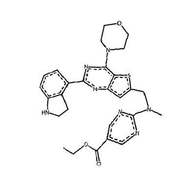 CCOC(=O)c1cnc(N(C)Cc2cc3nc(-c4cccc5c4CCN5)nc(N4CCOCC4)c3s2)nc1